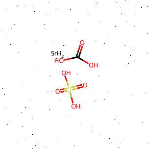 O=C(O)O.O=S(=O)(O)O.[SrH2]